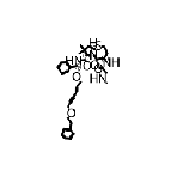 CNCC(=O)N[C@H]1CCS[C@H]2CC(C)(C)[C@@H](C(=O)N[C@H](COCC#CC#CCOCCc3ccccc3)c3ccccc3)N2C1=O